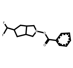 O=C(ON1CC2CC(C(F)F)CC2C1)c1ccccc1